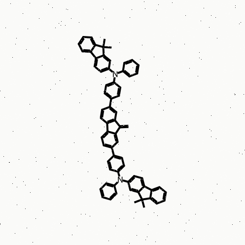 C=C1c2cc(-c3ccc(N(c4ccccc4)c4ccc5c(c4)C(C)(C)c4ccccc4-5)cc3)ccc2-c2ccc(-c3ccc(N(c4ccccc4)c4ccc5c(c4)C(C)(C)c4ccccc4-5)cc3)cc21